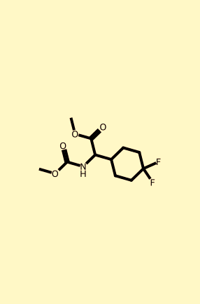 COC(=O)NC(C(=O)OC)C1CCC(F)(F)CC1